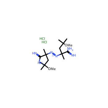 COC(C)(C)CC(C)(/N=N/C(C)(CC(C)(C)OC)C(=N)N)C(=N)N.Cl.Cl